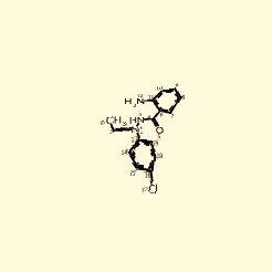 C/C=[N+](\NC(=O)c1ccccc1N)c1ccc(Cl)cc1